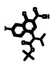 CC(C)C(C(=O)OC(C)(C)C)n1cc(C(=O)O)c(=O)c2cc(I)ccc21